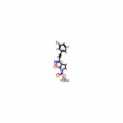 CC(C)(C)OC(=O)N1CCC2C(C#Cc3cccc(F)c3)=NOC21